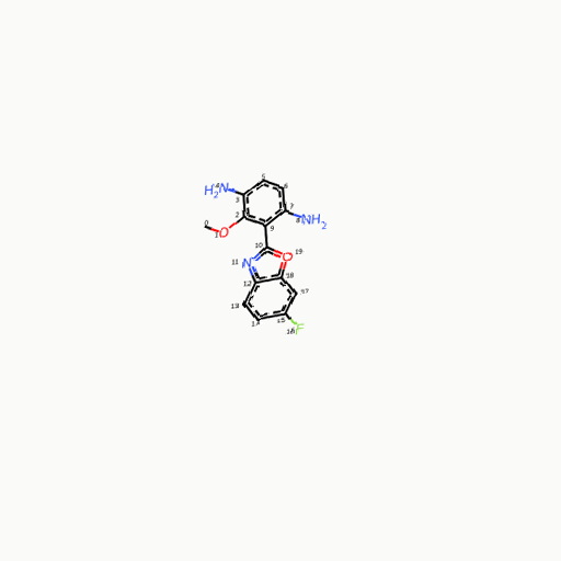 COc1c(N)ccc(N)c1-c1nc2ccc(F)cc2o1